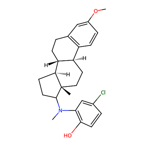 COc1ccc2c(c1)CC[C@@H]1[C@@H]2CC[C@]2(C)C(N(C)c3cc(Cl)ccc3O)CC[C@@H]12